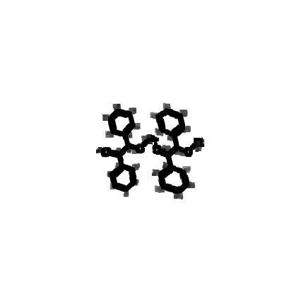 CC(C)OC(C(=O)c1ccccc1)c1ccccc1.CCOC(C(=O)c1ccccc1)c1ccccc1